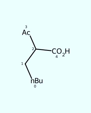 CCCCCC(C(C)=O)C(=O)O